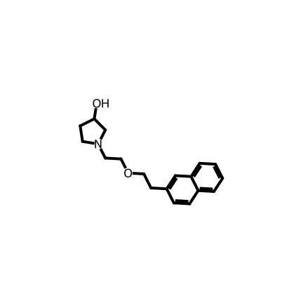 OC1CCN(CCOCCc2ccc3ccccc3c2)C1